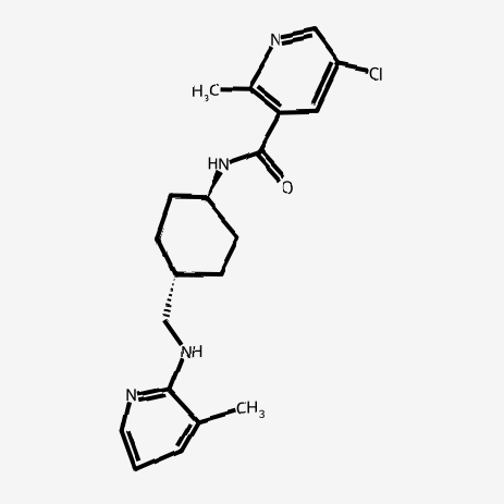 Cc1cccnc1NC[C@H]1CC[C@H](NC(=O)c2cc(Cl)cnc2C)CC1